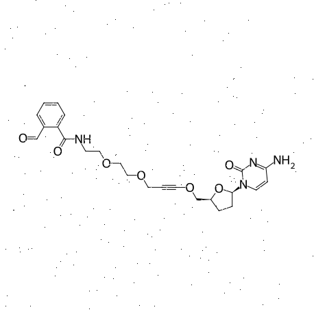 Nc1ccn([C@H]2CC[C@@H](COC#CCOCCOCCNC(=O)c3ccccc3C=O)O2)c(=O)n1